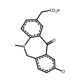 CN1Cc2ccc(Cl)cc2C(=O)c2cc(CC(=O)O)ccc21